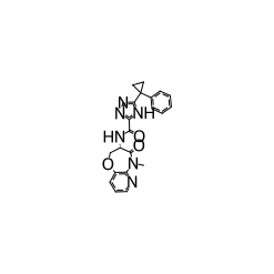 CN1C(=O)[C@@H](NC(=O)c2nnc(C3(c4ccccc4)CC3)[nH]2)COc2cccnc21